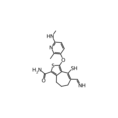 CNc1ccc(Oc2sc(C(N)=O)c3c2C(S)=C(C=N)CCC3)c(C)n1